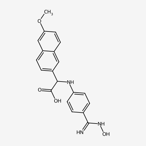 COc1ccc2cc(C(Nc3ccc(C(=N)NO)cc3)C(=O)O)ccc2c1